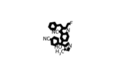 Cn1cncc1C(O)(c1ccc(C#N)cc1)c1ccc2nc(CF)c(Cc3ccccc3)c(C#N)c2c1